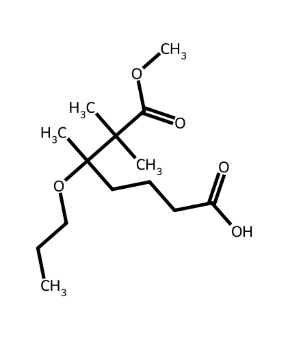 CCCOC(C)(CCCC(=O)O)C(C)(C)C(=O)OC